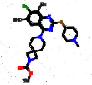 CCC(C)c1c(Br)c(C=O)cc2c(N3CCC4(CC3)CN(C(=O)OC(C)(C)C)C4)nc(SC3CCN(C)CC3)nc12